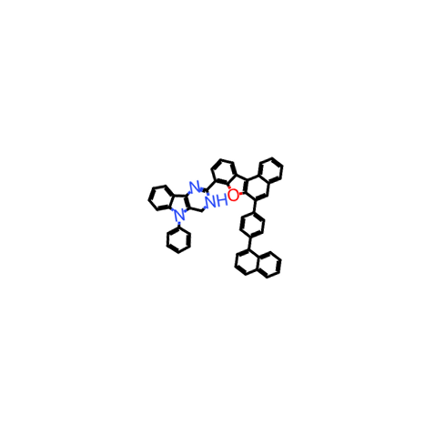 c1ccc(-n2c3c(c4ccccc42)N=C(c2cccc4c2oc2c(-c5ccc(-c6cccc7ccccc67)cc5)cc5ccccc5c24)NC3)cc1